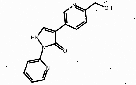 O=c1c(-c2ccc(CO)nc2)c[nH]n1-c1ccccn1